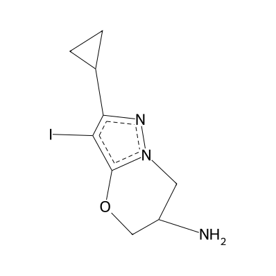 NC1COc2c(I)c(C3CC3)nn2C1